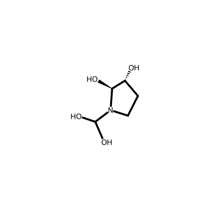 OC(O)N1CC[C@@H](O)[C@@H]1O